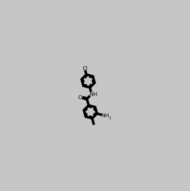 Cc1ccc(C(=O)Nc2ccc(Cl)cc2)cc1N